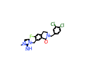 Cn1ccn(Cc2cc3c(cc2F)CCN(Cc2ccc(Cl)c(Cl)c2)C3=O)c1=N